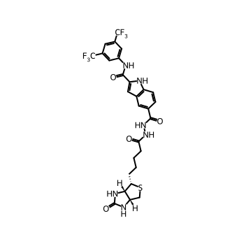 O=C(CCCC[C@@H]1SC[C@@H]2NC(=O)N[C@@H]21)NNC(=O)c1ccc2[nH]c(C(=O)Nc3cc(C(F)(F)F)cc(C(F)(F)F)c3)cc2c1